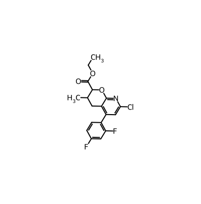 CCOC(=O)C1Oc2nc(Cl)cc(-c3ccc(F)cc3F)c2CC1C